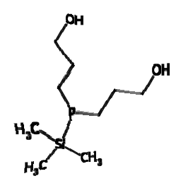 C[Si](C)(C)P(CCCO)CCCO